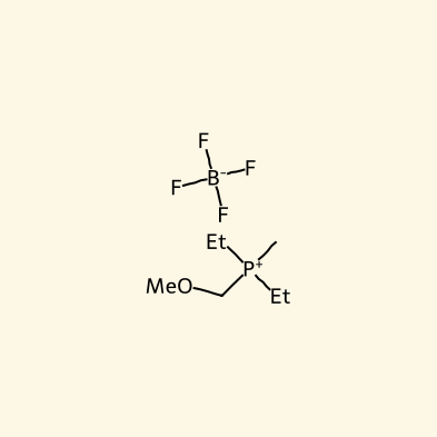 CC[P+](C)(CC)COC.F[B-](F)(F)F